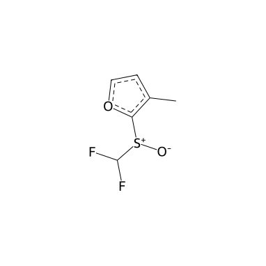 Cc1ccoc1[S+]([O-])C(F)F